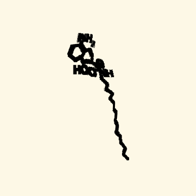 CCCCCCCCCCCCCCCCNS(=O)(=O)c1ccc2c(N)cccc2c1O